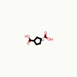 O=C(O)C1CC[C@@H](C(=O)O)C1